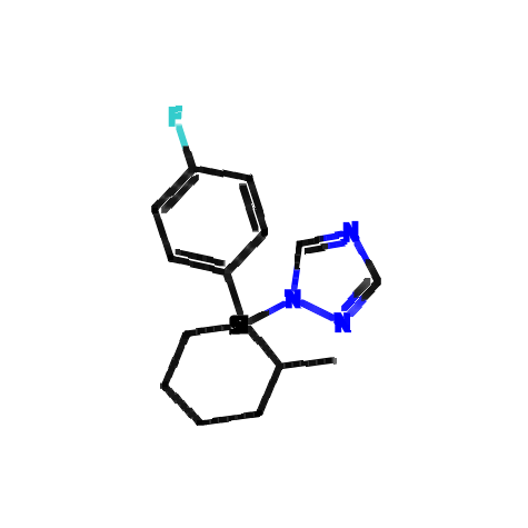 CC1CCCC[Si]1(c1ccc(F)cc1)n1cncn1